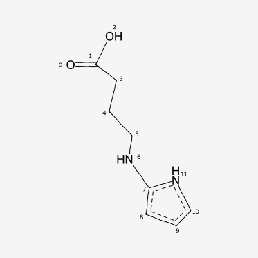 O=C(O)CCCNc1ccc[nH]1